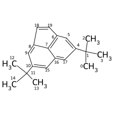 CC(C)(C)c1cc2c3c(cc(C(C)(C)C)cc3c1)C=C2